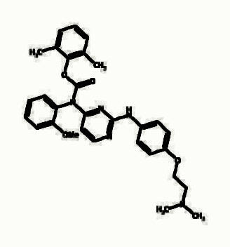 COc1ccccc1N(C(=O)Oc1c(C)cccc1C)c1ccnc(Nc2ccc(OCCN(C)C)cc2)n1